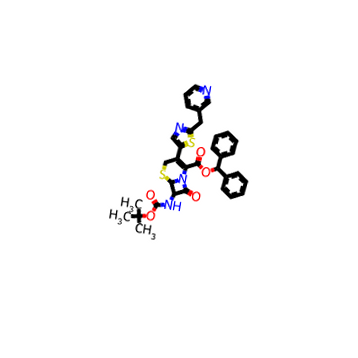 CC(C)(C)OC(=O)NC1C(=O)N2C(C(=O)OC(c3ccccc3)c3ccccc3)=C(c3cnc(Cc4cccnc4)s3)CSC12